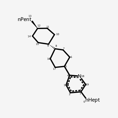 CCCCCCCc1ccc(C2CCC([C@H]3CC[C@H](CCCCC)CC3)CC2)nc1